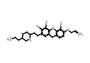 C=CCOc1ccc2c(c1F)Oc1c(cc(CCC3CCC(CCC)CO3)c(F)c1F)C2